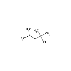 CC(CC(C)(C)C(C)C)C(F)(F)F